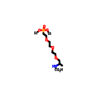 CCOP(=O)(CCOCCOCCOCC(C)NC(=O)O)OCC